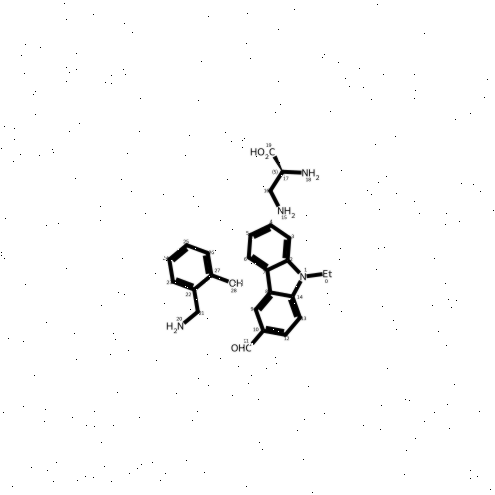 CCn1c2ccccc2c2cc(C=O)ccc21.NC[C@H](N)C(=O)O.NCc1ccccc1O